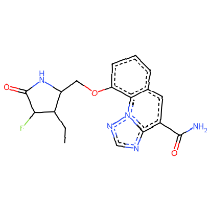 CCC1C(COc2cccc3cc(C(N)=O)c4ncnn4c23)NC(=O)C1F